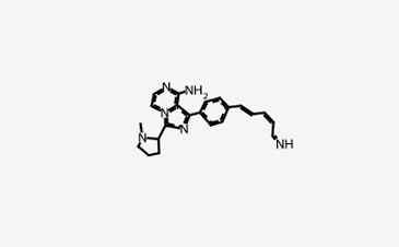 CN1CCCC1c1nc(-c2ccc(/C=C/C=C\C=N)cc2)c2c(N)nccn12